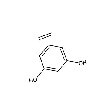 C=C.Oc1cccc(O)c1